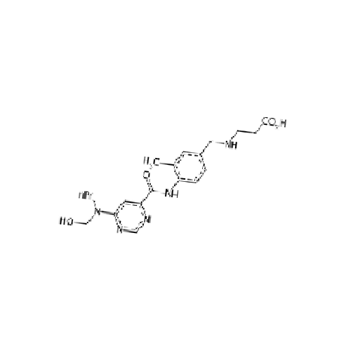 CCCN(CO)c1cc(C(=O)Nc2ccc(CNCCC(=O)O)cc2C)ncn1